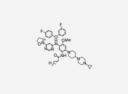 C=CC(=O)Nc1cc(Nc2cc(N3OCC[C@@H]3c3cc(Oc4cccc(F)c4)ccc3F)ncn2)c(OC)cc1N1CCC(N2CCN(C3CC3)CC2)CC1